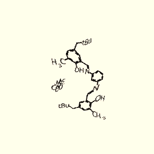 CC(=O)[O-].CC(=O)[O-].Cc1cc(CC(C)(C)C)cc(C=Nc2cccc(N=Cc3cc(CC(C)(C)C)cc(C)c3O)c2)c1O.[Co+2]